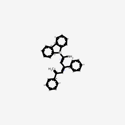 C=C(/C=C(\C=C(/N)B1c2ccccc2-c2ccccc21)c1ccccc1)c1ccccc1